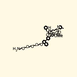 COC(=O)C[C@H](NC(=O)[C@H](Cc1ccccc1)NC(=O)CCCN(C(=O)OC(C)(C)C)c1cc(C)ccn1)c1ccc(-c2ccc(OCCOCCOCCOCCOCCN)c3ccccc23)cc1